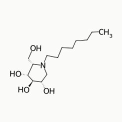 CCCCCCCCN1C[C@H](O)[C@@H](O)[C@H](O)[C@@H]1CO